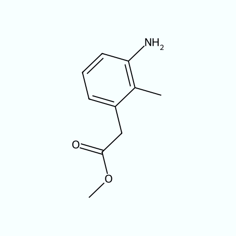 COC(=O)Cc1cccc(N)c1C